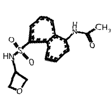 CC(=O)Nc1cccc2c(S(=O)(=O)NC3COC3)cccc12